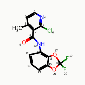 Cc1ccnc(Cl)c1C(=O)Nc1cccc2c1OC(F)(F)O2